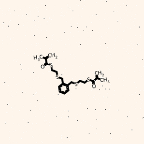 C=C(C)C(=O)SCCSCc1ccccc1CSCCSC(=O)C(=C)C